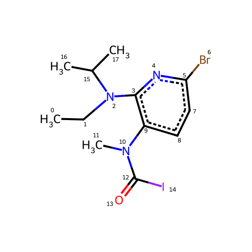 CCN(c1nc(Br)ccc1N(C)C(=O)I)C(C)C